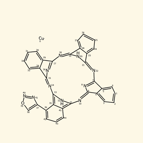 [Cu].c1ccc2c(c1)-c1nc-2nc2[nH]c(nc3nc(nc4[nH]c(n1)c1ccccc41)-c1ccccc1-3)c1c(-c3conn3)cccc21